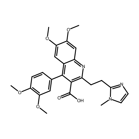 COc1ccc(-c2c(C(=O)O)c(CCc3nccn3C)nc3cc(OC)c(OC)cc23)cc1OC